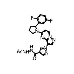 CC(=O)NNC(=O)c1cnn(-c2cnn3ccc(N4CCCC4c4cc(F)ccc4F)nc23)c1